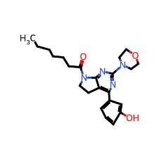 CCCCCCC(=O)N1CCc2c(-c3cccc(O)c3)nc(N3CCOCC3)nc21